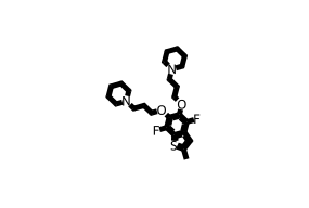 Cc1cc2c(F)c(OCCCN3CCCCC3)c(OCCCN3CCCCC3)c(F)c2s1